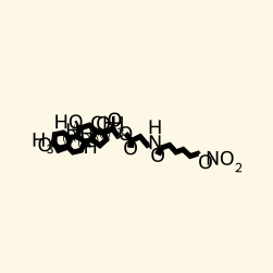 C[C@]12CCC(=O)C=C1CC[C@@H]1[C@@H]2[C@@H](O)C[C@@]2(C)[C@H]1CC[C@]2(O)C(=O)COC(=O)CCNC(=O)CCCCCO[N+](=O)[O-]